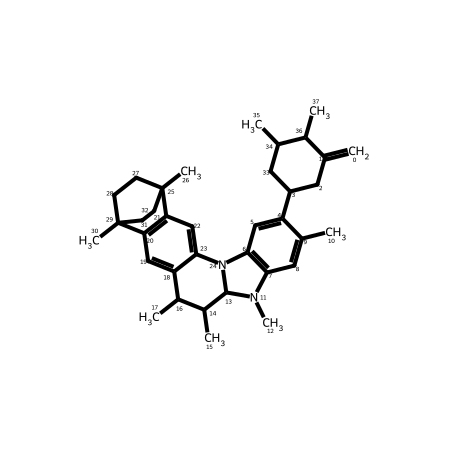 C=C1CC(c2cc3c(cc2C)N(C)C2C(C)C(C)c4cc5c(cc4N32)C2(C)CCC5(C)CC2)CC(C)C1C